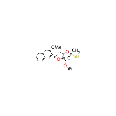 COc1cc2ccccc2cc1[C@H]1CC(OC(C)(C)S)[C@@H](COC(C)C)O1